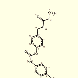 CCCCc1ccc(NC(=O)Oc2ccc(COC(=O)CC(=O)O)cc2)cc1